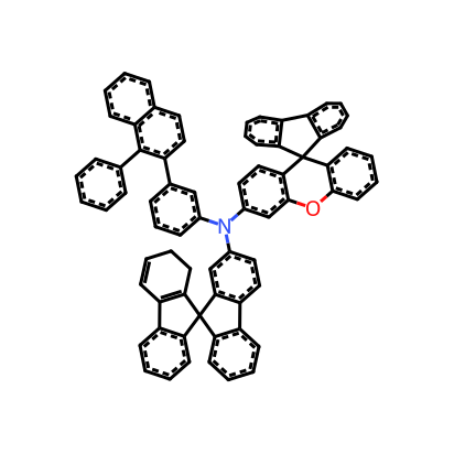 C1=CC2=C(CC1)C1(c3ccccc32)c2ccccc2-c2ccc(N(c3cccc(-c4ccc5ccccc5c4-c4ccccc4)c3)c3ccc4c(c3)Oc3ccccc3C43c4ccccc4-c4ccccc43)cc21